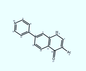 CC(=O)c1c[nH]c2cc(-c3ccncc3)ccc2c1=O